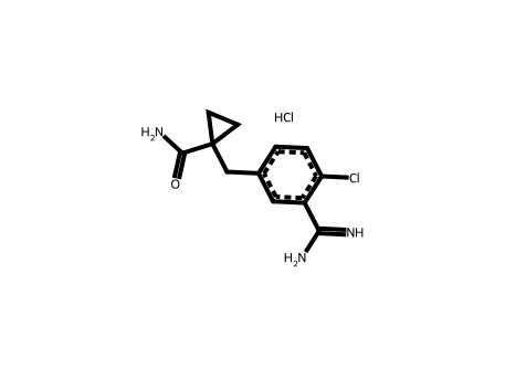 Cl.N=C(N)c1cc(CC2(C(N)=O)CC2)ccc1Cl